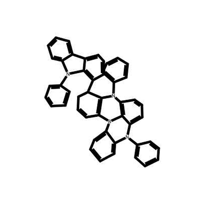 C1=CC2=C(C(c3cccc4c5ccccc5n(-c5ccccc5)c34)C1)N(c1ccccc1)c1cccc3c1B2c1ccccc1N3c1ccccc1